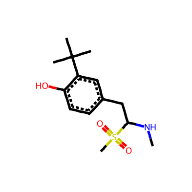 CNC(Cc1ccc(O)c(C(C)(C)C)c1)S(C)(=O)=O